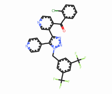 O=C(c1ccccc1Cl)c1ccncc1-c1nnn(Cc2cc(C(F)(F)F)cc(C(F)(F)F)c2)c1-c1ccncc1